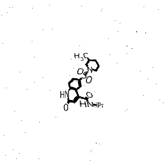 CC1CCCN(S(=O)(=O)c2ccc3[nH]c(=O)cc(C(=O)NC(C)C)c3c2)C1